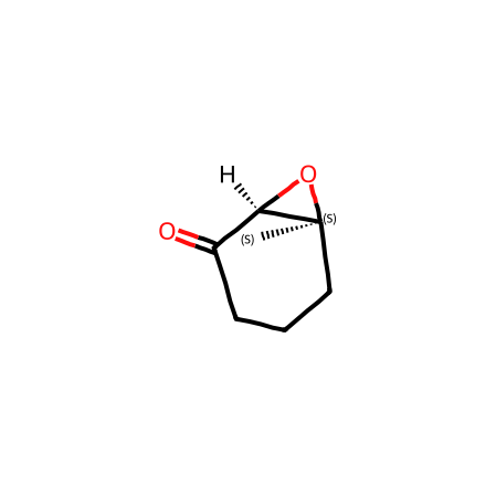 C[C@]12CCCC(=O)[C@H]1O2